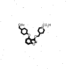 CC(=O)OCC1CCC(Oc2cccc3onc(OCC4CCN(C(=O)O)CC4)c23)CC1